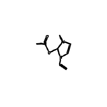 C=CN1C=CN(C)C1OC(C)=O